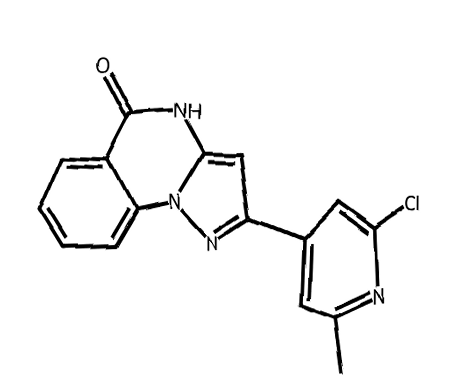 Cc1cc(-c2cc3[nH]c(=O)c4ccccc4n3n2)cc(Cl)n1